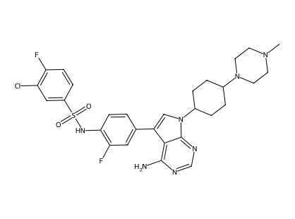 CN1CCN(C2CCC(n3cc(-c4ccc(NS(=O)(=O)c5ccc(F)c(Cl)c5)c(F)c4)c4c(N)ncnc43)CC2)CC1